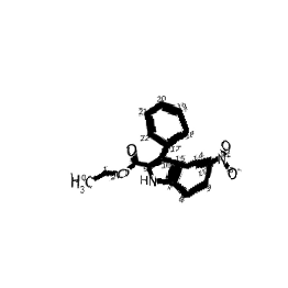 CCOC(=O)c1[nH]c2ccc([N+](=O)[O-])cc2c1-c1ccccc1